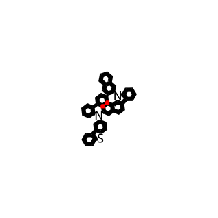 c1ccc(-c2ccccc2N(c2ccc3c(ccc4c5ccccc5n(-c5ccc6ccccc6c5)c34)c2)c2ccc3sc4ccccc4c3c2)cc1